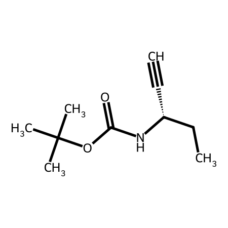 C#C[C@H](CC)NC(=O)OC(C)(C)C